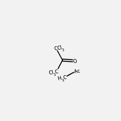 CC(C)=O.O=C(C(Cl)(Cl)Cl)C(Cl)(Cl)Cl